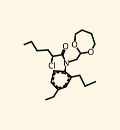 CCCCC(Cl)C(=O)N(CC1OCCCCO1)c1ccc(CC)cc1CCC